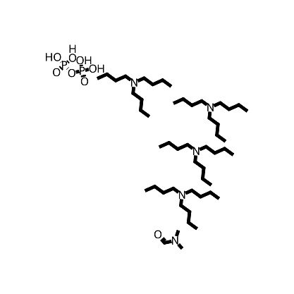 CCCCN(CCCC)CCCC.CCCCN(CCCC)CCCC.CCCCN(CCCC)CCCC.CCCCN(CCCC)CCCC.CN(C)C=O.O=P(O)(O)OP(=O)(O)O